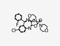 CC1N=C(c2ccccc2F)c2cc(Cl)ccc2N=C1OP(=O)(N1CCOCC1)N1CCOCC1